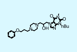 CCCCn1c(=O)n(C)c(=O)c2c1ncn2CC(O)CN1CCN(CCCOc2ccccc2)CC1